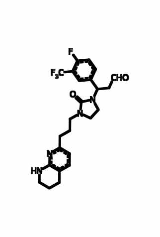 O=CCC(c1ccc(F)c(C(F)(F)F)c1)N1CCN(CCCc2ccc3c(n2)NCCC3)C1=O